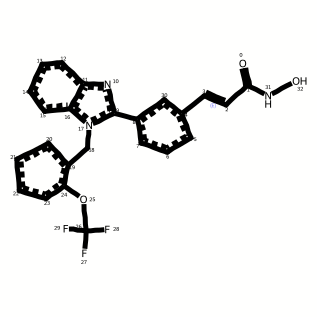 O=C(/C=C/c1cccc(-c2nc3ccccc3n2Cc2ccccc2OC(F)(F)F)c1)NO